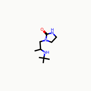 CC(CN1CCNC1=O)NC(C)(C)C